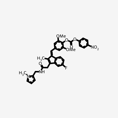 COc1cc(/C=C2/C(C)=C(CC(=O)NCc3cccn3C)c3cc(F)ccc32)cc(OC)c1OC(=O)Oc1ccc([N+](=O)[O-])cc1